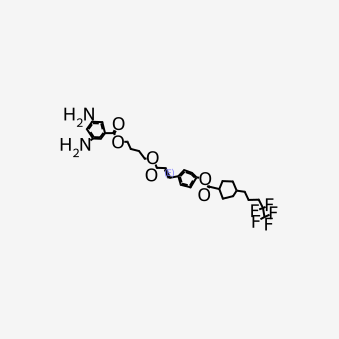 Nc1cc(N)cc(C(=O)OCCCCOC(=O)/C=C/c2ccc(OC(=O)C3CCC(CCCC(F)(F)C(F)(F)F)CC3)cc2)c1